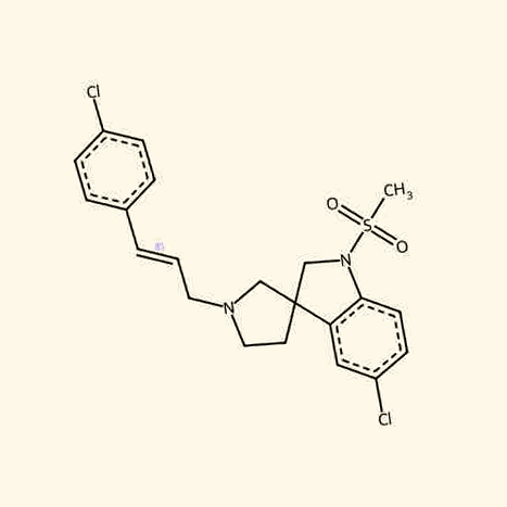 CS(=O)(=O)N1CC2(CCN(C/C=C/c3ccc(Cl)cc3)C2)c2cc(Cl)ccc21